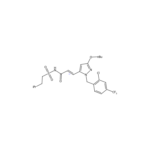 CCCCOc1cc(/C=C/C(=O)NS(=O)(=O)CCC(C)C)n(Cc2ccc(C(F)(F)F)cc2Cl)n1